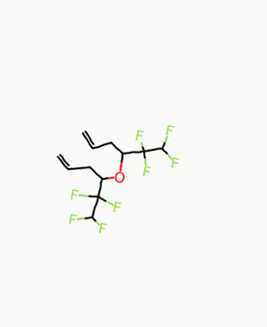 C=CCC(OC(CC=C)C(F)(F)C(F)F)C(F)(F)C(F)F